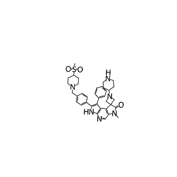 CN1C(=O)C2(CN(C3CCNCC3)C2)c2c1cnc1[nH]c(-c3ccc(CN4CCC(S(C)(=O)=O)CC4)cc3)c(-c3ccccc3)c21